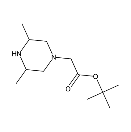 CC1CN(CC(=O)OC(C)(C)C)CC(C)N1